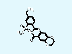 CCc1ccc(-c2nc3cc4c(cc3c(=O)o2)OCCO4)c(S(C)(=O)=O)c1